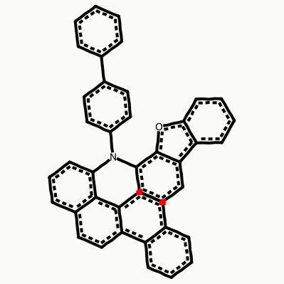 c1ccc(-c2ccc(N(c3cccc4c3oc3ccccc34)c3cccc4ccc5c6ccccc6ccc5c34)cc2)cc1